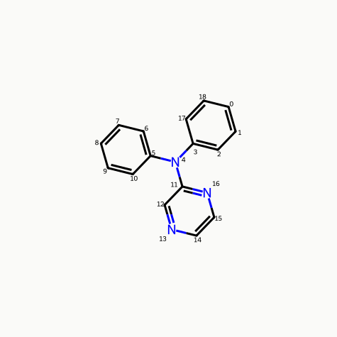 c1ccc(N(c2ccccc2)c2cnccn2)cc1